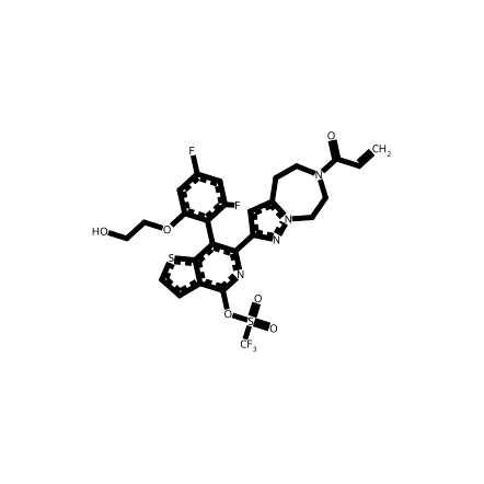 C=CC(=O)N1CCc2cc(-c3nc(OS(=O)(=O)C(F)(F)F)c4ccsc4c3-c3c(F)cc(F)cc3OCCO)nn2CC1